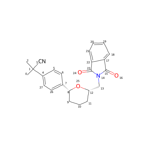 CC(C)(C#N)c1ccc([C@H]2CCC[C@@H](CN3C(=O)c4ccccc4C3=O)O2)cc1